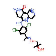 CC(=NOCC(C)(C)O)c1cc(Cl)c(Nc2nc3ccncc3c3c(=O)[nH]ccc23)c(Cl)c1